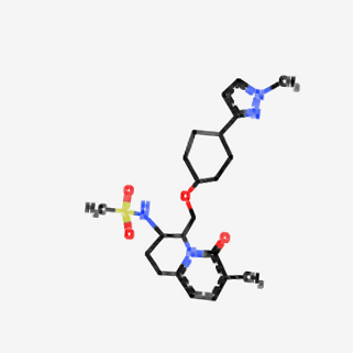 Cc1ccc2n(c1=O)C(COC1CCC(c3ccn(C)n3)CC1)C(NS(C)(=O)=O)CC2